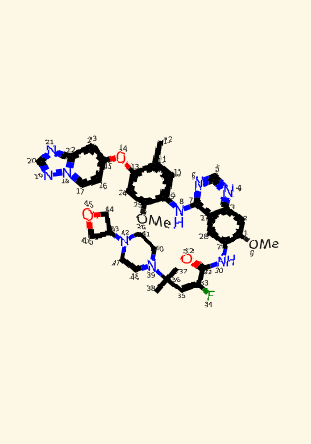 COc1cc2ncnc(Nc3cc(C)c(Oc4ccn5ncnc5c4)cc3OC)c2cc1NC(=O)/C(F)=C\C(C)(C)N1CCN(C2COC2)CC1